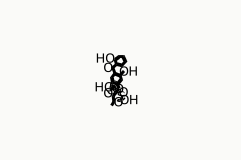 CCCC(Oc1ccc(C(=O)c2ccccc2O)c(O)c1)(S(=O)(=O)O)S(=O)(=O)O